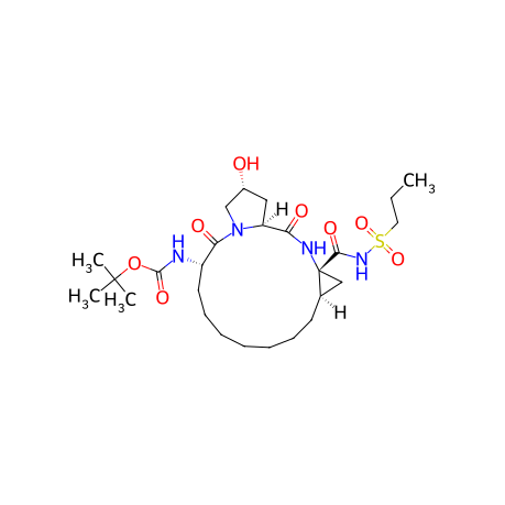 CCCS(=O)(=O)NC(=O)[C@@]12C[C@H]1CCCCCCC[C@H](NC(=O)OC(C)(C)C)C(=O)N1C[C@H](O)C[C@H]1C(=O)N2